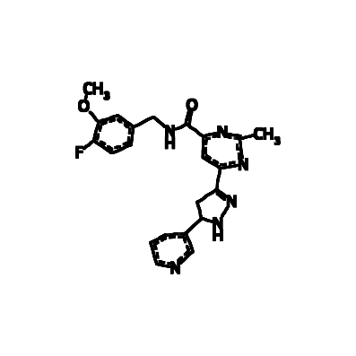 COc1cc(CNC(=O)c2cc(C3=NNC(c4cccnc4)C3)nc(C)n2)ccc1F